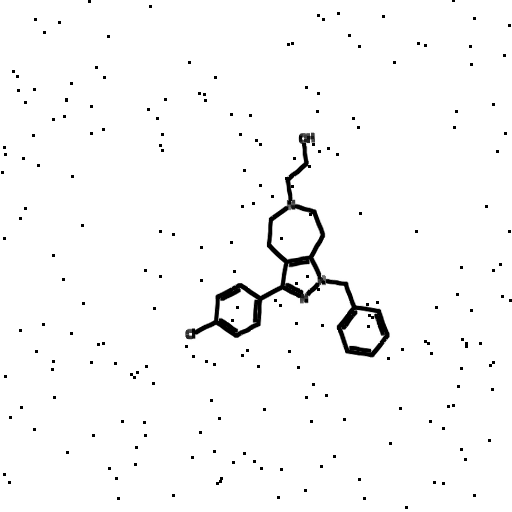 OCCN1CCc2c(-c3ccc(Cl)cc3)nn(Cc3ccccc3)c2CC1